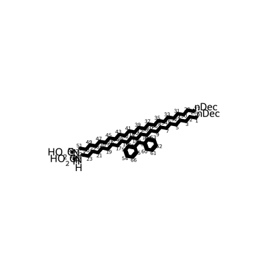 CCCCCCCCCCCCCCCCCCCCCCCCCCCCCCCCCCNC(=O)O.CCCCCCCCCCCCCCCCCCCCCCCCCCCCCCCCCCNC(=O)O.c1ccc(Cc2ccccc2)cc1